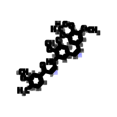 COc1cc(C(=O)/C=C\Nc2cc(/C=C\c3cc(OC)c(OC)c(OC)c3)cc(Cl)c2OC)ccc1C